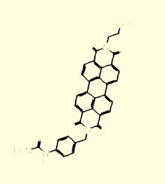 CCCCCCCCCCCCN1C(=O)c2ccc3c4ccc5c6c(ccc(c7ccc(c2c37)C1=O)c64)C(=O)N(Cc1ccc(NC(N)=O)cc1)C5=O